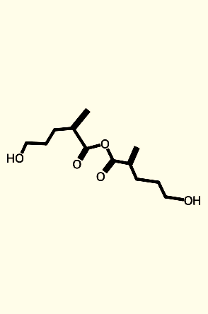 C=C(CCCO)C(=O)OC(=O)C(=C)CCCO